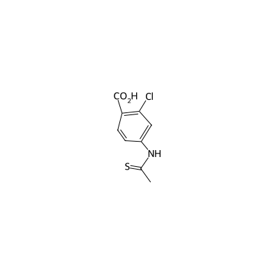 CC(=S)Nc1ccc(C(=O)O)c(Cl)c1